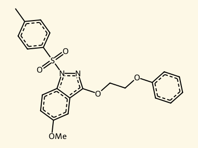 COc1ccc2c(c1)c(OCCOc1ccccc1)nn2S(=O)(=O)c1ccc(C)cc1